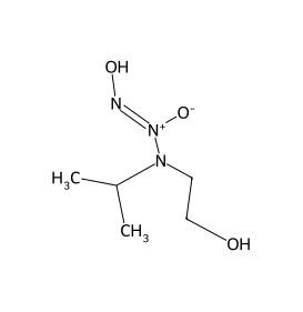 CC(C)N(CCO)/[N+]([O-])=N/O